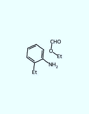 CCOC=O.CCc1ccccc1N